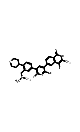 Cc1[nH]c(=O)c2ccc(-c3cc(-c4ccc(C5CCOCC5)c(CN(C)C)c4)c(F)nc3N)cc2c1F